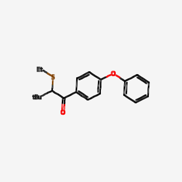 CCSC(C(=O)c1ccc(Oc2ccccc2)cc1)C(C)(C)C